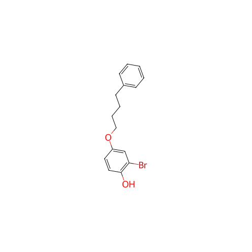 Oc1ccc(OCCCCc2ccccc2)cc1Br